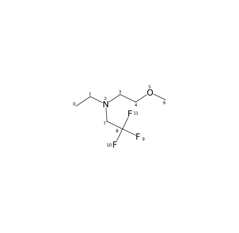 CCN(CCOC)CC(F)(F)F